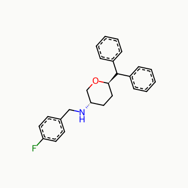 Fc1ccc(CN[C@H]2CC[C@H](C(c3ccccc3)c3ccccc3)OC2)cc1